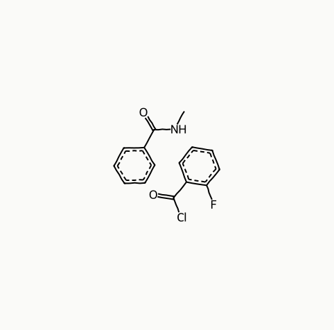 CNC(=O)c1ccccc1.O=C(Cl)c1ccccc1F